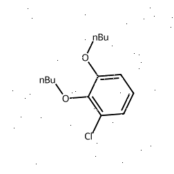 CCCCOc1cccc(Cl)c1OCCCC